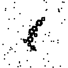 COc1cc(-n2ccc3cc(-c4ccc(Cl)cc4)sc3c2=O)ccc1OC1CN(C)C1